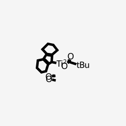 CC(C)(C)C(=O)[O][Ti+2][CH]1C2=C(CCCC2)C2=C1CCCC2.C[O-].C[O-]